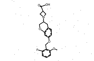 COc1cccc(F)c1COc1ccc2c(c1)OCC(N1CC(C(=O)O)C1)C2